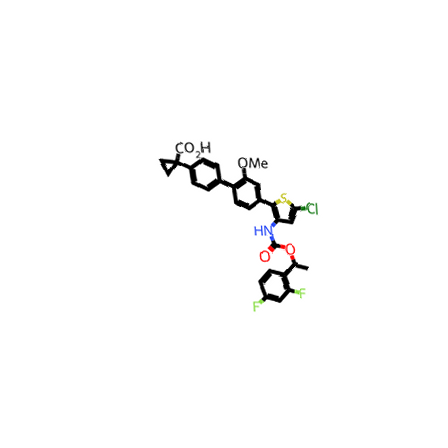 COc1cc(-c2sc(Cl)cc2NC(=O)OC(C)c2ccc(F)cc2F)ccc1-c1ccc(C2(C(=O)O)CC2)cc1